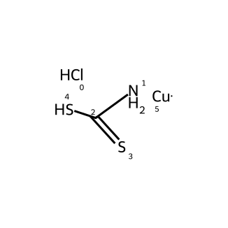 Cl.NC(=S)S.[Cu]